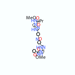 COC(=O)N[C@H](C(=O)N1CCC[C@H]1c1ncc(-c2ccc(-c3nc4ccc(-c5cnc([C@@H]6CCCN6C(=O)[C@H](NC(=O)OC)c6ccccc6)[nH]5)cc4o3)cc2)[nH]1)C(C)C